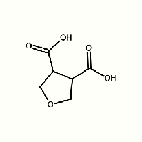 O=C(O)C1COCC1C(=O)O